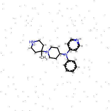 CC1(N2CCC(N(c3ccccc3)c3ccncc3)CC2)CCNCC1